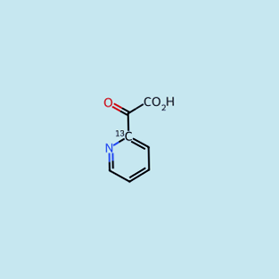 O=C(O)C(=O)[13c]1ccccn1